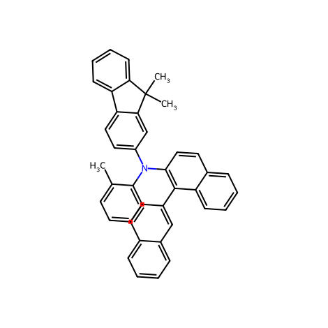 Cc1ccccc1N(c1ccc2c(c1)C(C)(C)c1ccccc1-2)c1ccc2ccccc2c1-c1ccc2ccccc2c1